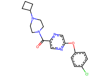 O=C(c1cnc(Oc2ccc(Cl)cc2)cn1)N1CCN(C2CCC2)CC1